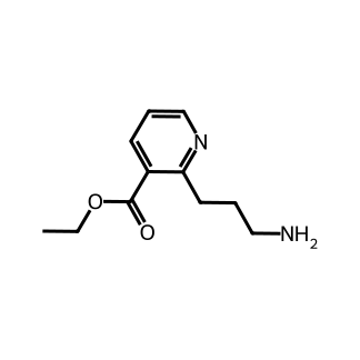 CCOC(=O)c1cccnc1CCCN